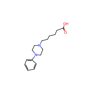 O=C(O)CCCCCN1CCN(c2ccccc2)CC1